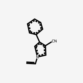 C=Cn1cc(C#N)c(-c2ccccc2)c1